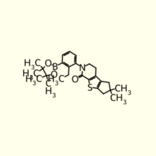 CCc1c(B2OC(C)(C)C(C)(C)O2)cccc1N1CCc2c(sc3c2CC(C)(C)C3)C1=O